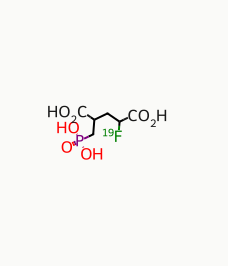 O=C(O)C([19F])CC(CP(=O)(O)O)C(=O)O